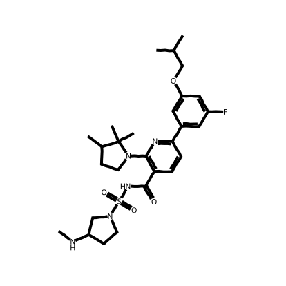 CNC1CCN(S(=O)(=O)NC(=O)c2ccc(-c3cc(F)cc(OCC(C)C)c3)nc2N2CCC(C)C2(C)C)C1